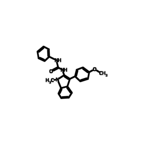 COc1ccc(-c2c(NC(=O)Nc3ccccc3)n(C)c3ccccc23)cc1